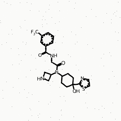 O=C(NCC(=O)N(C1CCC(O)(c2nccs2)CC1)C1CNC1)c1cccc(C(F)(F)F)c1